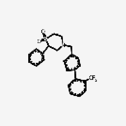 O=S1(=O)CCN(Cc2ccc(-c3ccccc3C(F)(F)F)cc2)CC1c1ccccc1